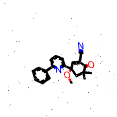 COC1(c2cccc(-c3ccccc3)n2)C=C(C#N)C(=O)C(C)(C)C1